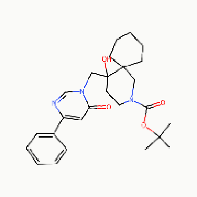 CC(C)(C)OC(=O)N1CCC(O)(Cn2cnc(-c3ccccc3)cc2=O)C2(CCCCC2)C1